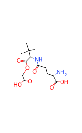 CC(C)(C)[C@H](NC(=O)CC[C@H](N)C(=O)O)C(=O)OCC(=O)O